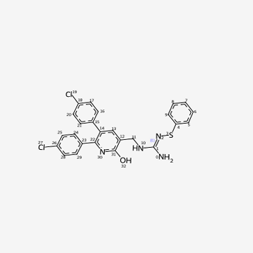 N/C(=N\Sc1ccccc1)NCc1cc(-c2ccc(Cl)cc2)c(-c2ccc(Cl)cc2)nc1O